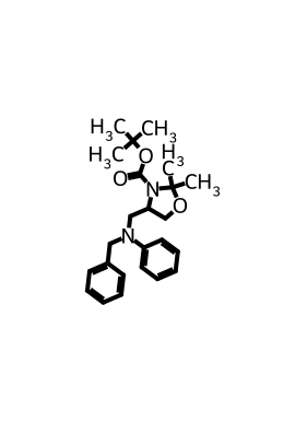 CC(C)(C)OC(=O)N1C(CN(Cc2ccccc2)c2ccccc2)COC1(C)C